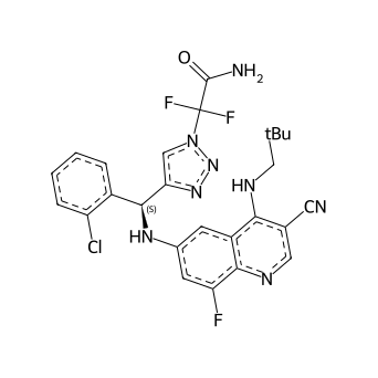 CC(C)(C)CNc1c(C#N)cnc2c(F)cc(N[C@H](c3cn(C(F)(F)C(N)=O)nn3)c3ccccc3Cl)cc12